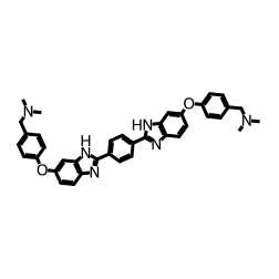 CN(C)Cc1ccc(Oc2ccc3nc(-c4ccc(-c5nc6ccc(Oc7ccc(CN(C)C)cc7)cc6[nH]5)cc4)[nH]c3c2)cc1